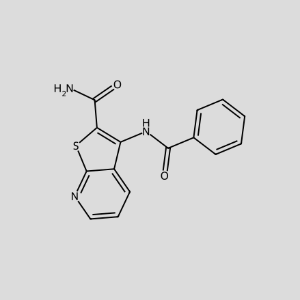 NC(=O)c1sc2ncccc2c1NC(=O)c1ccccc1